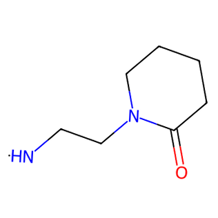 [NH]CCN1CCCCC1=O